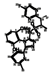 COc1cccc(O)c1-n1c(NS(=O)(=O)[C@H](C)[C@@H](C)c2ncc(F)cn2)nnc1C1=C=C=CC(C)=N1